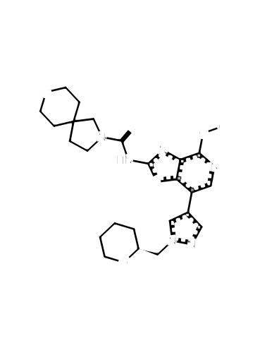 COc1ncc(-c2cnn(C[C@@H]3CCCCO3)c2)c2sc(NC(=O)N3CCC4(CCOCC4)C3)nc12